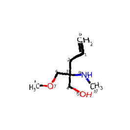 C=CCC(CO)(COC)NC